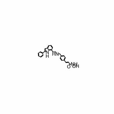 O=C(/C=C/c1ccc(CNCCc2cccc3cc(-c4ccccc4)[nH]c23)cc1)NO